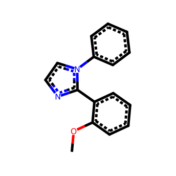 COc1ccccc1-c1nccn1-c1ccccc1